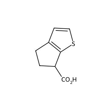 O=C(O)C1CCc2ccsc21